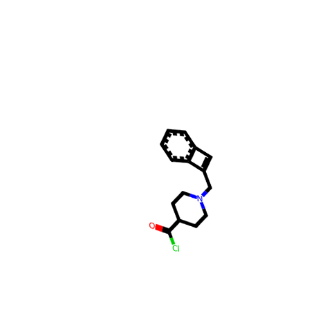 O=C(Cl)C1CCN(CC2=Cc3ccccc32)CC1